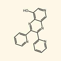 Oc1cncc2nc(-c3ccccn3)c(-c3ccccn3)nc12